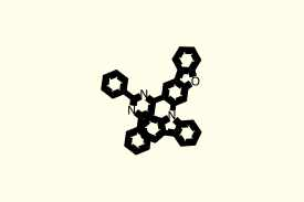 c1ccc(-c2cc(-c3cc4c(cc3-n3c5ccccc5c5ccccc53)oc3ccccc34)nc(-c3ccccc3)n2)cc1